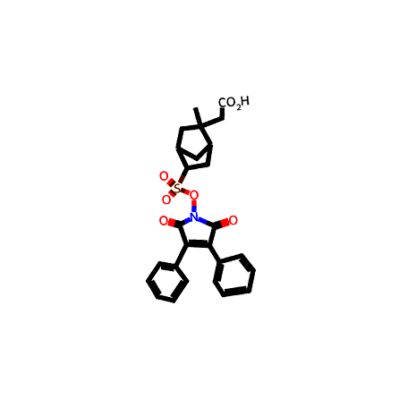 CC1(CC(=O)O)CC2CC1CC2S(=O)(=O)ON1C(=O)C(c2ccccc2)=C(c2ccccc2)C1=O